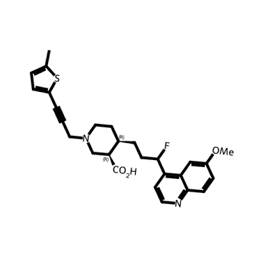 COc1ccc2nccc(C(F)CC[C@@H]3CCN(CC#Cc4ccc(C)s4)C[C@@H]3C(=O)O)c2c1